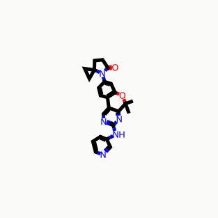 CC1(C)Oc2cc(N3C(=O)CCC34CC4)ccc2-c2cnc(Nc3cccnc3)nc21